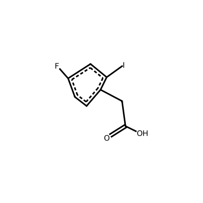 O=C(O)Cc1ccc(F)cc1I